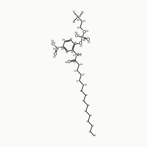 CCCCCCCCCCCCCCCC(=O)Nc1cc([N+](=O)[O-])ccc1OP(=O)([O-])OCC[N+](C)(C)C